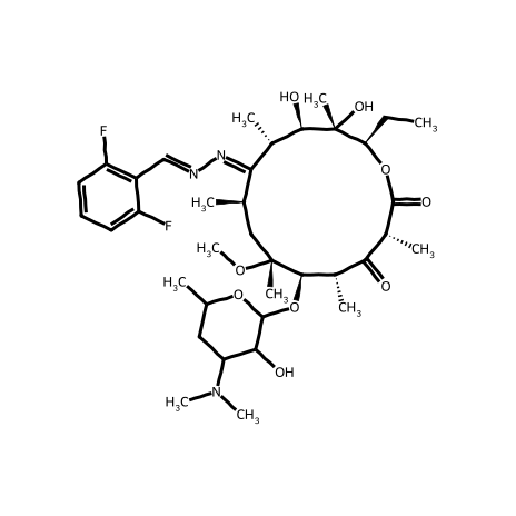 CC[C@H]1OC(=O)[C@H](C)C(=O)[C@H](C)[C@@H](OC2OC(C)CC(N(C)C)C2O)[C@](C)(OC)C[C@@H](C)/C(=N\N=C\c2c(F)cccc2F)[C@H](C)[C@@H](O)[C@]1(C)O